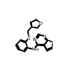 c1ccc(OCC2CCOC2)c(Nc2ncnc3sccc23)c1